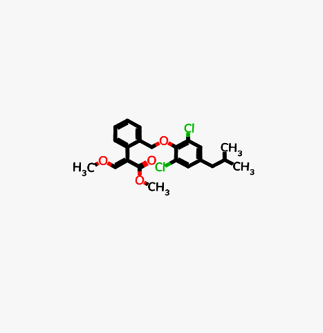 CO/C=C(/C(=O)OC)c1ccccc1COc1c(Cl)cc(CC(C)C)cc1Cl